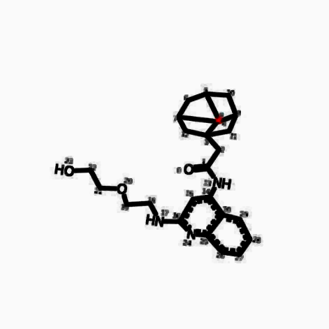 O=C(CC12CC3CC(CC(C3)C1)C2)Nc1cc(NCCOCCO)nc2ccccc12